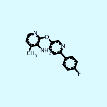 Cc1ccnc(Oc2ccc(-c3ccc(F)cc3)nc2)c1N